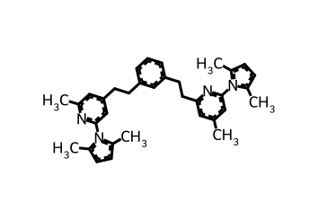 Cc1cc(CCc2cccc(CCc3cc(C)nc(-n4c(C)ccc4C)c3)c2)nc(-n2c(C)ccc2C)c1